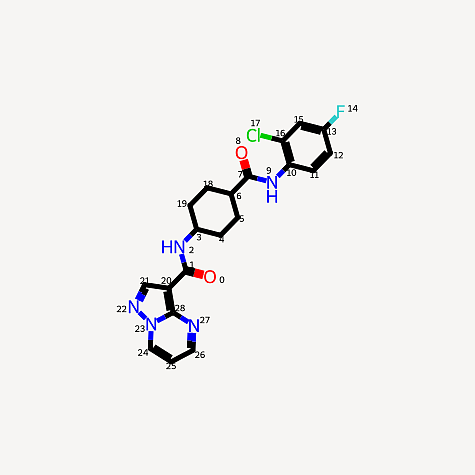 O=C(NC1CCC(C(=O)Nc2ccc(F)cc2Cl)CC1)c1cnn2cccnc12